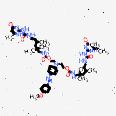 C/C=C(/C)N/C(=N\C=O)NC(=O)NCCC(C)CC(C)(C)CNC(=O)OCCN(CCOC(=O)NCC(C)(C)CC(C)CCNC(=O)Nc1nc(=O)cc(C)[nH]1)c1ccc(/N=N/c2ccc(OC)cc2)cc1